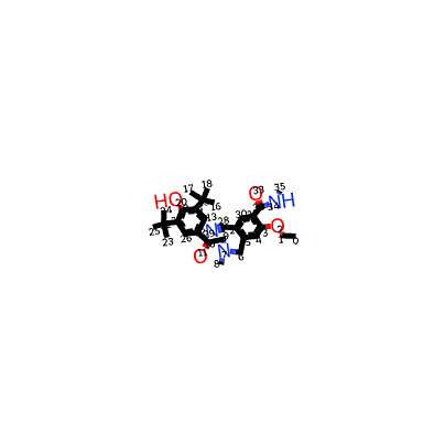 CCOc1cc(CN(C)CC(=O)c2cc(C(C)(C)C)c(O)c(C(C)(C)C)c2)c(C#N)cc1C(=O)NC